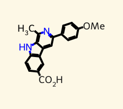 COc1ccc(-c2cc3c([nH]c4ccc(C(=O)O)cc43)c(C)n2)cc1